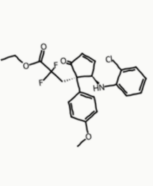 CCOC(=O)C(F)(F)C[C@]1(c2ccc(OC)cc2)C(=O)C=C[C@H]1Nc1ccccc1Cl